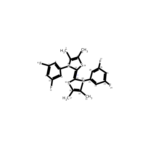 CC1=C(C)N(c2cc(F)cc(F)c2)/C(=C2\SC(C)=C(C)N2c2cc(F)cc(F)c2)S1